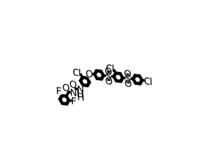 O=C(NC(=O)c1c(F)cccc1F)Nc1ccc(Oc2ccc(S(=O)(=O)c3ccc(S(=O)(=O)c4ccc(Cl)cc4)cc3Cl)cc2)c(Cl)c1